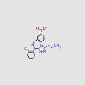 NCCc1nnc2n1-c1ccc([N+](=O)[O-])cc1C=NC2C1=C(Cl)C=CCC1